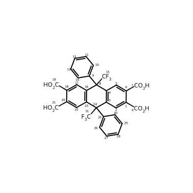 O=C(O)c1cc2c(cc1C(=O)O)C(c1ccccc1)(C(F)(F)F)c1cc(C(=O)O)c(C(=O)O)cc1C2(c1ccccc1)C(F)(F)F